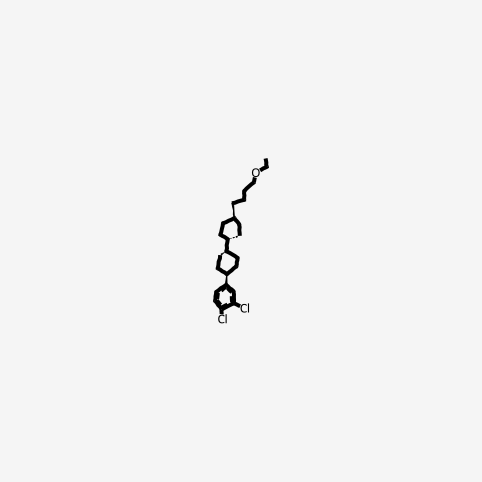 CCOCCCC[C@H]1CC[C@H]([C@H]2CC[C@H](c3ccc(Cl)c(Cl)c3)CC2)CC1